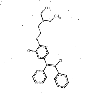 CCN(CC)CCOc1ccc(C(=C(Cl)c2ccccc2)c2ccccc2)cc1Cl